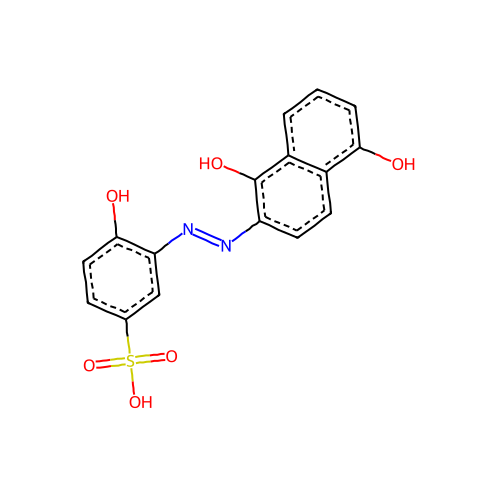 O=S(=O)(O)c1ccc(O)c(N=Nc2ccc3c(O)cccc3c2O)c1